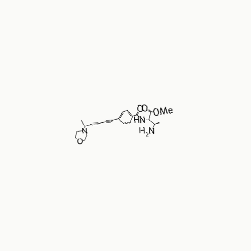 COC(=O)[C@@H](NC(=O)c1ccc(C#CC#CC(C)N2CCOCC2)cc1)[C@@H](C)N